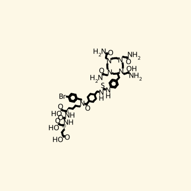 NC(=O)CN1CCN(CC(N)=O)CCN(CC(N)O)C(Cc2ccc(NC(=S)NCC3CCC(C(=O)N(CCCC[C@@H](NC(=O)N[C@H](CCC(=O)O)C(=O)O)C(=O)O)Cc4ccc(Br)cc4)CC3)cc2)CN(CC(N)=O)CC1